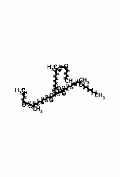 CCCCCCCCOC(C)CCCCCCCC(=O)OCC(COC(=O)CCCCCCCC(C)OCC1OC1CCCCC)OC(=O)CCCCCCCC(C)OCC1OC1CCCCC